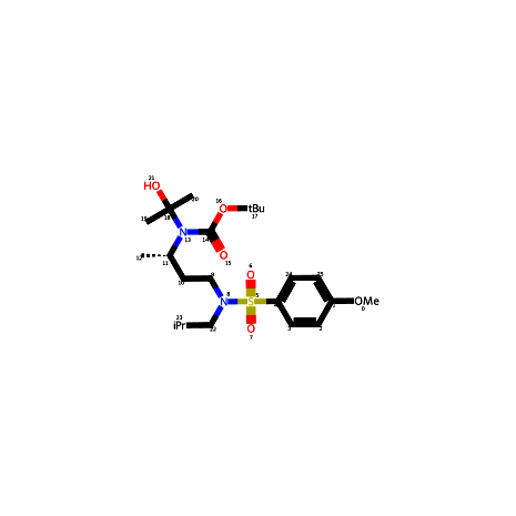 COc1ccc(S(=O)(=O)N(CC[C@H](C)N(C(=O)OC(C)(C)C)C(C)(C)O)CC(C)C)cc1